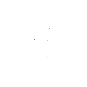 CC[C@@H](NC(=O)N1C(=O)[C@H](Cc2ccnc(N)c2)[C@H]1C(=O)N(C)c1ccn(C)n1)c1ccc(C)c(F)c1F